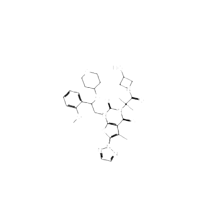 COc1ccccc1C(Cn1c(=O)n(C(C)(C)C(=O)N2CC(O)C2)c(=O)c2c(C)c(-n3nccn3)sc21)OC1CCOCC1